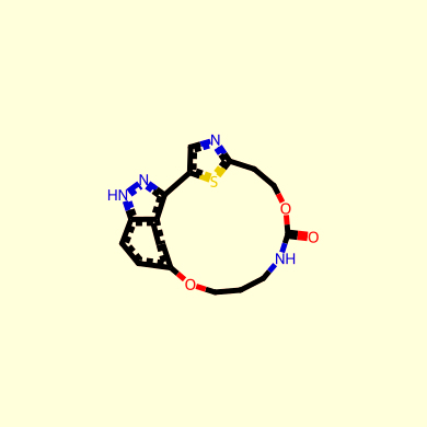 O=C1NCCCOc2ccc3[nH]nc(c3c2)-c2cnc(s2)CCO1